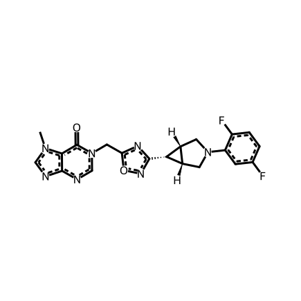 Cn1cnc2ncn(Cc3nc([C@@H]4[C@@H]5CN(c6cc(F)ccc6F)C[C@@H]54)no3)c(=O)c21